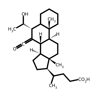 CC(O)[C@H]1C(=C=O)[C@H]2[C@@H]3CC[C@H](C(C)CCC(=O)O)[C@@]3(C)CC[C@@H]2[C@@]2(C)CCCCC12